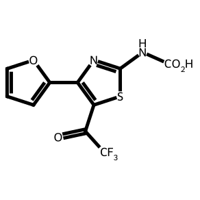 O=C(O)Nc1nc(-c2ccco2)c(C(=O)C(F)(F)F)s1